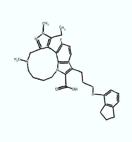 CCc1c2c(nn1C)CN(C)CCCCn1c(C(=O)O)c(CCCOc3cccc4c3CCC4)c3ccc(F)c-2c31